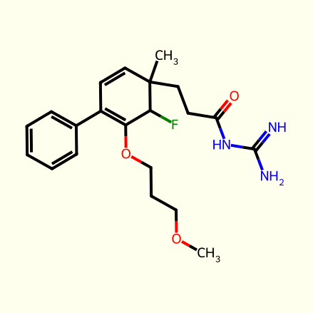 COCCCOC1=C(c2ccccc2)C=CC(C)(CCC(=O)NC(=N)N)C1F